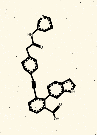 O=C(Cc1ccc(C#Cc2cccc(C(=O)O)c2-c2ccc3cc[nH]c3c2)cc1)Nc1cccnc1